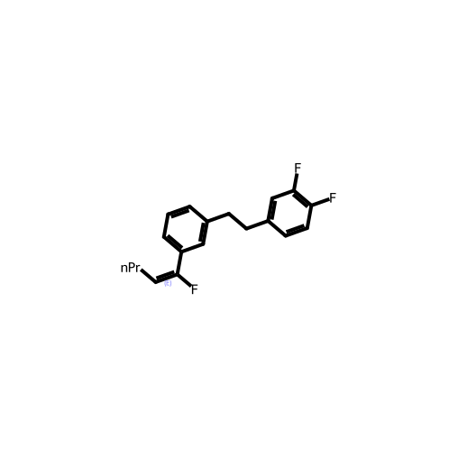 CCC/C=C(/F)c1cccc(CCc2ccc(F)c(F)c2)c1